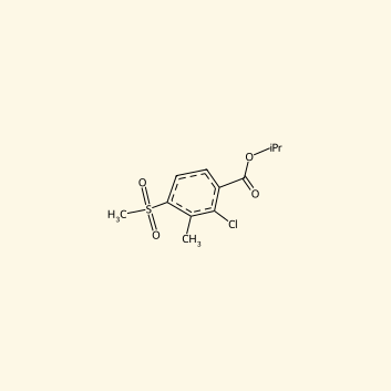 Cc1c(S(C)(=O)=O)ccc(C(=O)OC(C)C)c1Cl